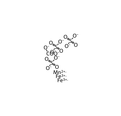 O=C([O-])[O-].O=S(=O)([O-])[O-].O=S(=O)([O-])[O-].O=S(=O)([O-])[O-].[Fe+3].[Fe+3].[Mn+2]